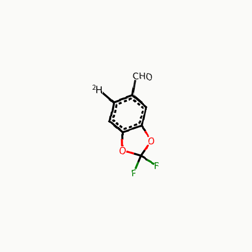 [2H]c1cc2c(cc1C=O)OC(F)(F)O2